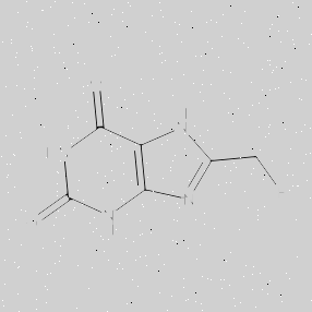 O=c1[nH]c(=O)c2[nH]c(CF)nc2[nH]1